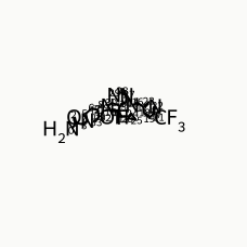 NC(=O)CN1CC[C@@H](Cn2cc(F)c3c(N(Cc4ccc(C(F)(F)F)nc4)C4CC4)ncnc32)[C@H](O)C1